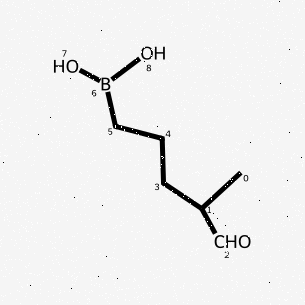 CC(C=O)CCCB(O)O